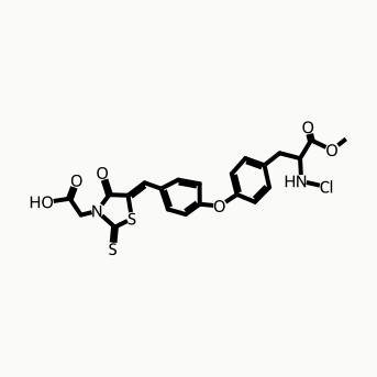 COC(=O)C(Cc1ccc(Oc2ccc(/C=C3\SC(=S)N(CC(=O)O)C3=O)cc2)cc1)NCl